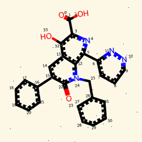 O=C(O)c1nc(-c2cccnn2)c2c(cc(-c3ccccc3)c(=O)n2Cc2ccccc2)c1O